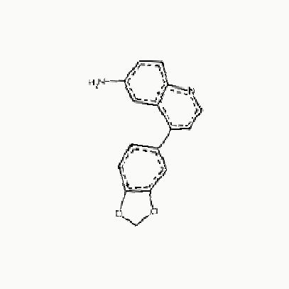 Nc1ccc2nccc(-c3ccc4c(c3)OCO4)c2c1